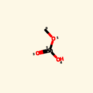 C[O][Sn](=[O])[OH]